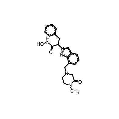 CN1CCN(Cc2cccc3cn(C(Cc4ccccc4)C(=O)NO)nc23)CC1=O